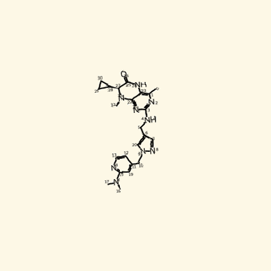 Cc1nc(NCc2cnn(Cc3ccnc(N(C)C)c3)c2)nc2c1NC(=O)[C@H](C1CC1)N2C